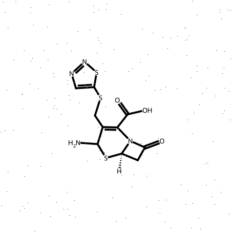 NC1S[C@@H]2CC(=O)N2C(C(=O)O)=C1CSc1cnns1